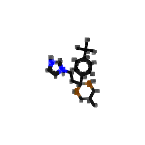 CC1CSC(CCn2ccnc2)(c2ccc(C(C)(C)C)cc2)SC1